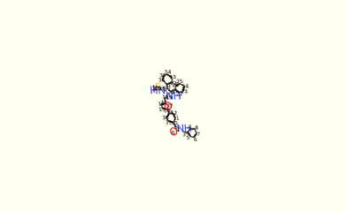 O=C(NCc1ccccc1)c1ccc(-c2ccc(CN[C@H](c3ccccc3)[C@H](NSI)c3ccccc3)o2)cc1